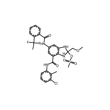 COCC1(OS(C)(=O)=O)Nc2cc(NC(=O)c3ccccc3C(F)(F)F)cc(C(=O)Nc3cccc(Cl)c3C)c2N1